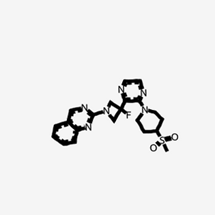 CS(=O)(=O)C1CCN(c2nccnc2C2(F)CN(c3ncc4ccccc4n3)C2)CC1